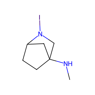 CNC12CCC(C1)N(I)C2